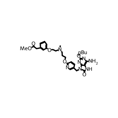 CCCCOc1nc(N)c2[nH]c(=O)n(Cc3ccc(OCCCN(C)CCOc4cccc(CC(=O)OC)c4)nc3)c2n1